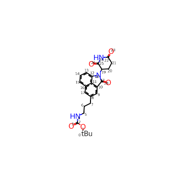 CC(C)(C)OC(=O)NCCCc1cc2c3c(cccc3c1)N(C1CCC(=O)NC1=O)C2=O